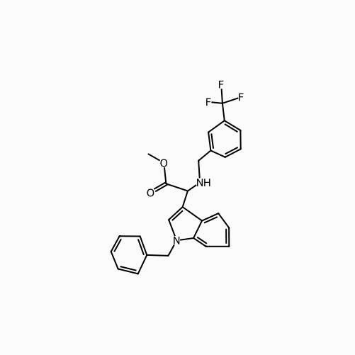 COC(=O)C(NCc1cccc(C(F)(F)F)c1)c1cn(Cc2ccccc2)c2ccccc12